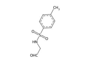 Cc1ccc(S(=O)(=O)NCC=O)cc1